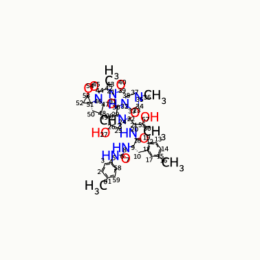 Cc1ccc(NC(=O)N[C@@H](Cc2cccc(C)c2)C(=O)N[C@H](C(=O)N2C[C@H](O)C[C@H]2C(=O)N2CCN(C)C[C@H]2C(=O)N[C@@H](C)C(=O)N2C[C@H](C)C[C@@]23CC3=O)[C@H](C)O)cc1